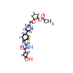 CC(=O)OC1CCCC1OCc1ncc(-c2ccc3nc(NC(=O)C4CC(O)C4)sc3c2)cn1